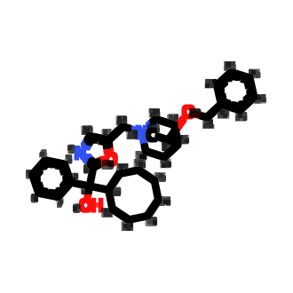 OC(c1ccccc1)(c1ncc(C[N+]23CCC(CC2)C(OCc2ccccc2)C3)o1)C1CCCCCCC1